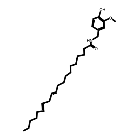 CCCCC/C=C/C/C=C/CCCCCCCCCC(=O)NCc1ccc(O)c(OC)c1